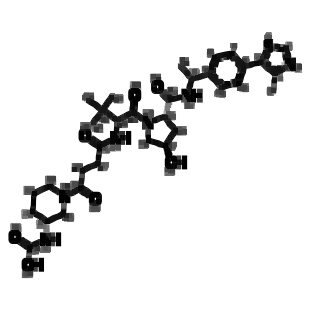 Cc1ncsc1-c1ccc(C(C)NC(=O)[C@@H]2C[C@@H](O)CN2C(=O)C(NC(=O)CCC(=O)N2CCC[C@@H](NC(=O)O)C2)C(C)(C)C)cc1